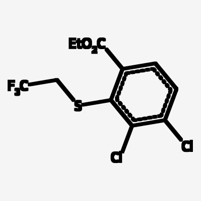 CCOC(=O)c1ccc(Cl)c(Cl)c1SCC(F)(F)F